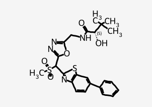 CC(C)(C)[C@H](O)C(=O)NCc1nnc(C(c2nc3ccc(-c4ccccc4)cc3s2)S(C)(=O)=O)o1